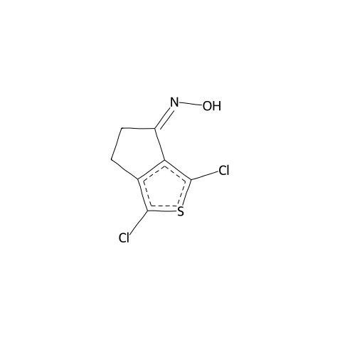 ON=C1CCc2c(Cl)sc(Cl)c21